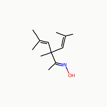 CC(C)=CC(C)(C=C(C)C)C(C)=NO